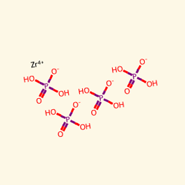 O=P([O-])(O)O.O=P([O-])(O)O.O=P([O-])(O)O.O=P([O-])(O)O.[Zr+4]